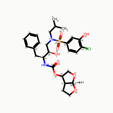 CC(C)CN(C[C@@H](O)[C@H](Cc1ccccc1)NC(=O)OC1CO[C@H]2OCCC12)S(=O)(=O)c1ccc(Cl)c(O)c1